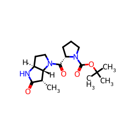 C[C@@H]1C(=O)N[C@H]2CCN(C(=O)[C@@H]3CCCN3C(=O)OC(C)(C)C)[C@@H]21